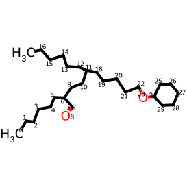 CCCCCCC([C]=O)CCC(CCCCCC)CCCCCOC1CC[CH]CC1